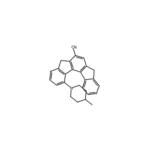 CC1CCN(c2cccc3c2-c2c(c(C#N)cc4c2-c2ccccc2C4)C3)CC1